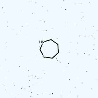 C1CCNC[N]C1